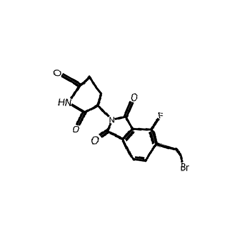 O=C1CCC(N2C(=O)c3ccc(CBr)c(F)c3C2=O)C(=O)N1